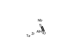 [AlH3].[Nb].[O]=[Ti].[Ta].[Zr]